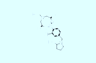 CC1CCCN1Cc1ccc(B2OC(=O)CN(C)CC(=O)O2)c(Cl)c1